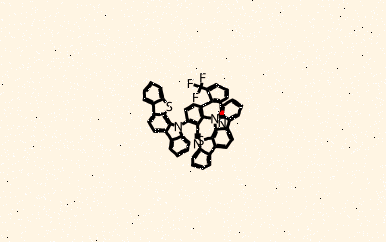 N#Cc1cccc(C(F)(F)F)c1-c1ccc(-n2c3ccccc3c3ccc4c5ccccc5sc4c32)c(C#N)c1-n1c2ccccc2c2ccc3c4ccccc4sc3c21